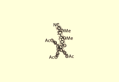 COc1cc(-c2ccc(-c3ccc(C(=O)c4cc(OCCOCCOC(C)=O)c(OCCOCCOC(C)=O)c(OCCOCCOC(C)=O)c4)cc3)c(OC)c2)ccc1-c1ccc(C#N)cc1